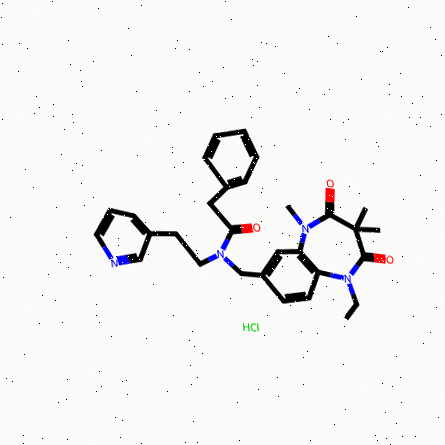 CCN1C(=O)C(C)(C)C(=O)N(C)c2cc(CN(CCc3cccnc3)C(=O)Cc3ccccc3)ccc21.Cl